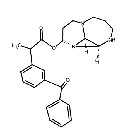 CC(C(=O)OC1CCN2CCCN[C@@H]3[C@H]2[N@@]13)c1cccc(C(=O)c2ccccc2)c1